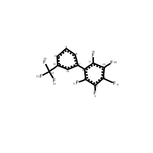 Fc1c(F)c(F)c(-c2cccc(C(F)(F)F)c2)c(F)c1F